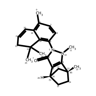 Cc1ccc(-n2c(=O)c3c(n2C)[C@]2(C)CC[C@H]3C2)c2c1C=CCC2(C)C